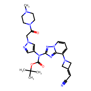 CN1CCN(C(=O)Cn2cc(N(C(=O)OC(C)(C)C)c3nc4c(N5CC(=CC#N)C5)cccn4n3)cn2)CC1